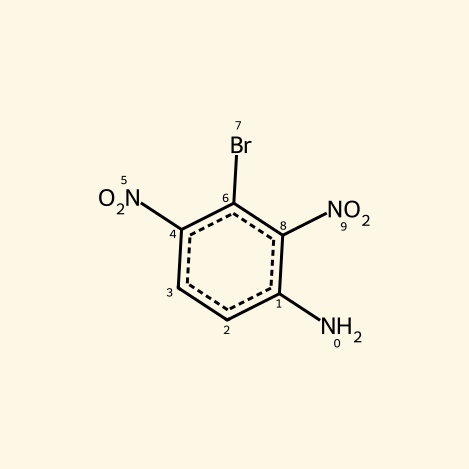 Nc1ccc([N+](=O)[O-])c(Br)c1[N+](=O)[O-]